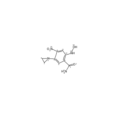 NC(=O)c1cc(N2CC2)c([N+](=O)[O-])cc1NO